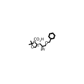 CC(C)[C@@H](COCc1ccccc1)C[C@H]1COC(C)(C)N1C(=O)O